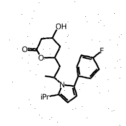 CC(C)c1ccc(-c2ccc(F)cc2)n1C(C)CC1CC(O)CC(=O)O1